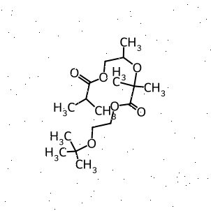 CC(COC(=O)C(C)C)OC(C)(C)C(=O)OCCOC(C)(C)C